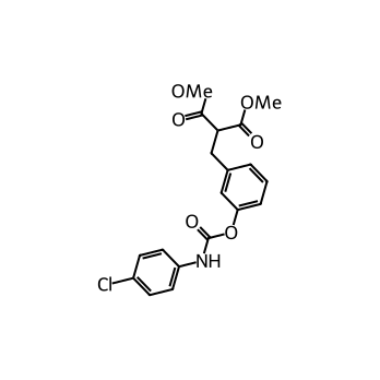 COC(=O)C(Cc1cccc(OC(=O)Nc2ccc(Cl)cc2)c1)C(=O)OC